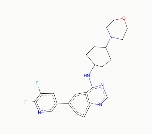 Fc1cc(-c2ccc3ncnc(NC4CCC(N5CCOCC5)CC4)c3c2)cnc1F